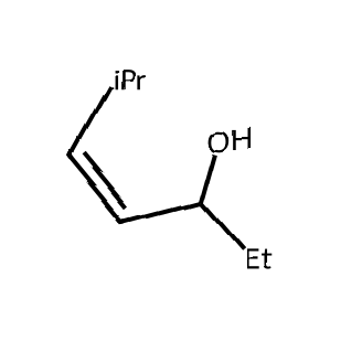 CCC(O)/C=C\C(C)C